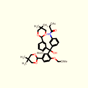 COCOc1ccc(C2OCC(C)(C)CO2)cc1C(O)(c1cccc(NC(=O)COC(C)=O)c1)c1cc(C2OCC(C)(C)CO2)ccc1OC